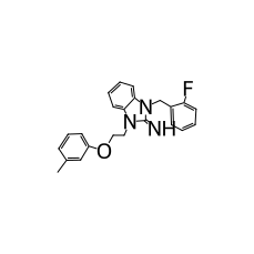 Cc1cccc(OCCn2c(=N)n(Cc3ccccc3F)c3ccccc32)c1